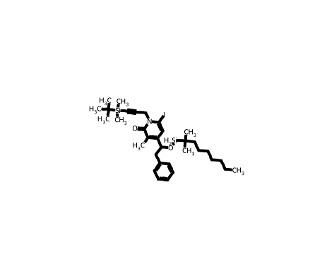 CCCCCCCC(C)(C)[SiH2]OC(Cc1ccccc1)c1cc(I)n(CC#C[Si](C)(C)C(C)(C)C)c(=O)c1C